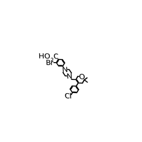 CC1(C)CC(c2ccc(Cl)cc2)=C(CN2CCN(c3ccc(C(=O)O)c(Br)c3)CC2)CO1